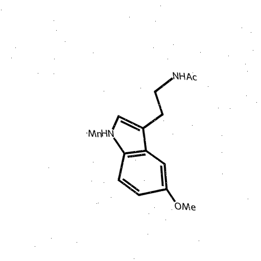 COc1ccc2[nH]cc(CCNC(C)=O)c2c1.[Mn]